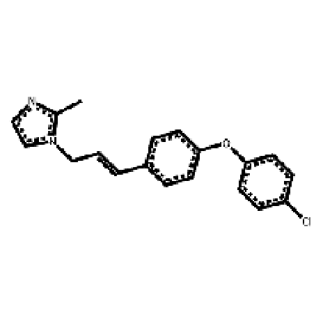 Cc1nccn1CC=Cc1ccc(Oc2ccc(Cl)cc2)cc1